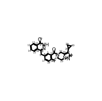 O=C(c1cc(Cc2n[nH]c(=O)c3ccccc23)ccc1F)N1CCn2nnc(C3CC3)c2C1